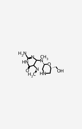 C=NC1C(=O)NC(N)=NC1N(C)[C@H]1CNC[C@@H](CO)O1